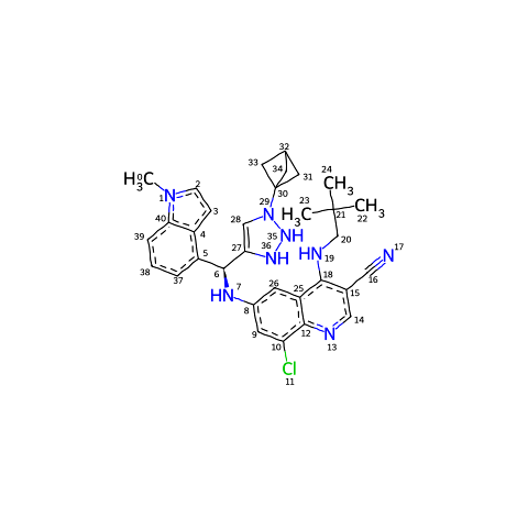 Cn1ccc2c([C@H](Nc3cc(Cl)c4ncc(C#N)c(NCC(C)(C)C)c4c3)C3=CN(C45CC(C4)C5)NN3)cccc21